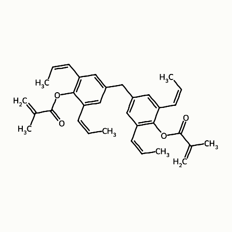 C=C(C)C(=O)Oc1c(/C=C\C)cc(Cc2cc(/C=C\C)c(OC(=O)C(=C)C)c(/C=C\C)c2)cc1/C=C\C